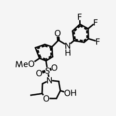 COc1ccc(C(=O)Nc2cc(F)c(F)c(F)c2)cc1S(=O)(=O)N1CC(O)COC(C)C1